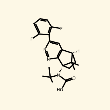 CC(C)(C)N(C(=O)O)[C@]12CC[C@H](c3cc(-c4c(F)cccc4F)nnc31)C2(C)C